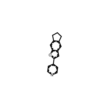 c1cc(-c2cc3cc4c(cc3o2)CCC4)ccn1